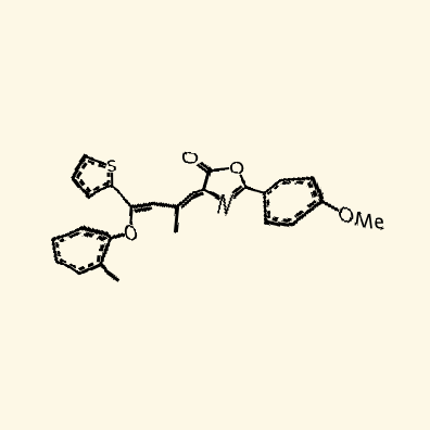 COc1ccc(C2=N/C(=C(C)/C=C(\Oc3ccccc3C)c3cccs3)C(=O)O2)cc1